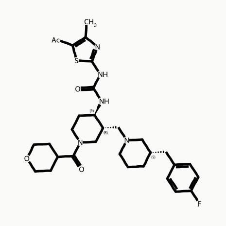 CC(=O)c1sc(NC(=O)N[C@@H]2CCN(C(=O)C3CCOCC3)C[C@H]2CN2CCC[C@@H](Cc3ccc(F)cc3)C2)nc1C